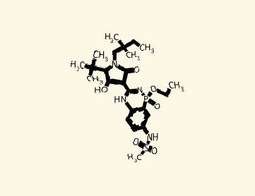 CCOP1(=O)N=C(C2=C(O)C(C(C)(C)C)N(CC(C)(C)CC)C2=O)Nc2ccc(NS(C)(=O)=O)cc21